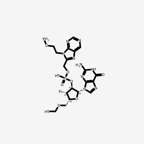 Nc1nc2c(ncn2[C@@H]2O[C@H](COCS)[C@H](F)[C@H]2OP(=O)(S)OCc2nc3cncnc3n2CCOP)c(=O)[nH]1